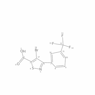 O=C(O)c1snc(-c2cccc(C(F)(F)F)c2)c1Br